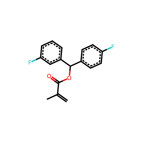 C=C(C)C(=O)OC(c1ccc(F)cc1)c1cccc(F)c1